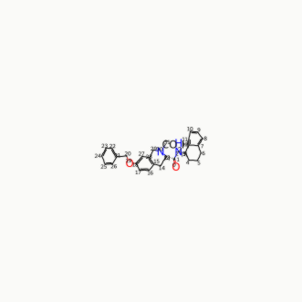 O=C(N[C@H]1CCCc2ccccc21)[C@@H]1Cc2ccc(OCc3ccccc3)cc2CN1C(=O)O